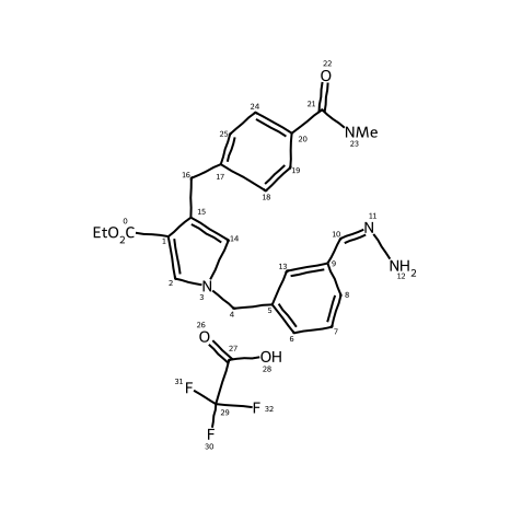 CCOC(=O)c1cn(Cc2cccc(/C=N\N)c2)cc1Cc1ccc(C(=O)NC)cc1.O=C(O)C(F)(F)F